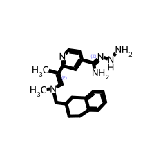 C/C(=C\N(C)CC1CCc2ccccc2C1)c1cc(/C(N)=N/NN)ccn1